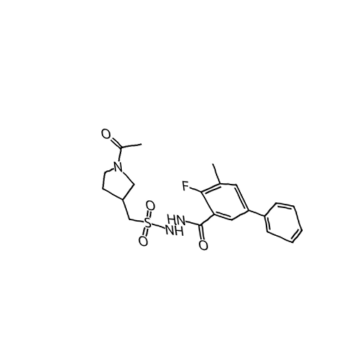 CC(=O)N1CCC(CS(=O)(=O)NNC(=O)c2cc(-c3ccccc3)cc(C)c2F)C1